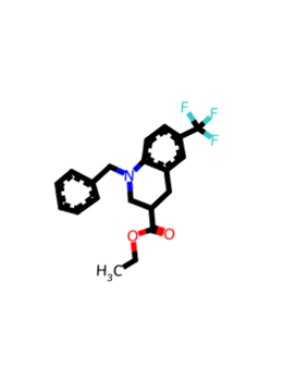 CCOC(=O)C1Cc2cc(C(F)(F)F)ccc2N(Cc2ccccc2)C1